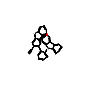 C#Cc1cc2oc3ccccc3c2cc1-c1ccccc1-n1c2ccccc2c2ccccc21